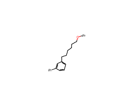 CC(C)OCCCCCCc1cccc(C(C)C)c1